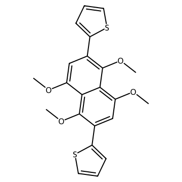 COc1cc(-c2cccs2)c(OC)c2c(OC)cc(-c3cccs3)c(OC)c12